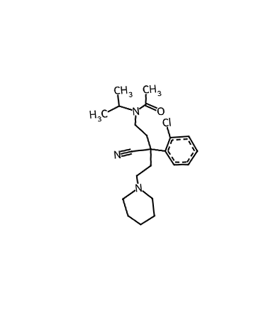 CC(=O)N(CCC(C#N)(CCN1CCCCC1)c1ccccc1Cl)C(C)C